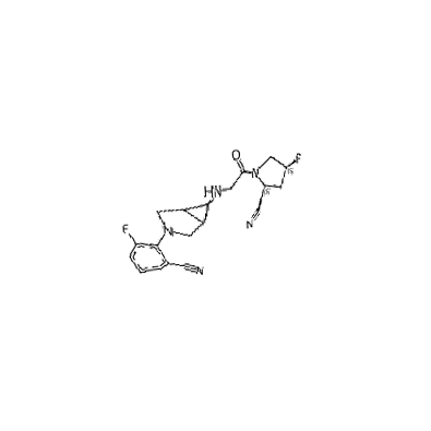 N#Cc1cccc(F)c1N1CC2C(C1)C2NCC(=O)N1C[C@@H](F)C[C@H]1C#N